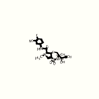 C#C[C@@H](O)[C@]1(C)COc2c(cn(C)c2C(=O)Nc2ccc(F)c(C#N)c2)S(=O)(=O)N1